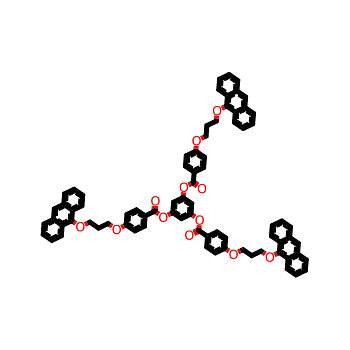 O=C(Oc1cc(OC(=O)c2ccc(OCCCOc3c4ccccc4cc4ccccc34)cc2)cc(OC(=O)c2ccc(OCCCOc3c4ccccc4cc4ccccc34)cc2)c1)c1ccc(OCCCOc2c3ccccc3cc3ccccc23)cc1